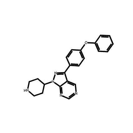 c1ccc(Oc2ccc(-c3nn(C4CCNCC4)c4ncncc34)cc2)cc1